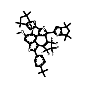 COc1cc2oc(-c3ccc(C(C)(C)C)cc3)c(C3=C(c4cc(-c5cc6c(s5)C(C)(C)CC6(C)C)sc4-c4cc5c(s4)C(C)(C)CC5(C)C)C(F)(F)C(F)(F)C3(F)F)c2cc1OC